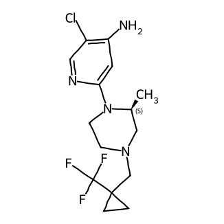 C[C@H]1CN(CC2(C(F)(F)F)CC2)CCN1c1cc(N)c(Cl)cn1